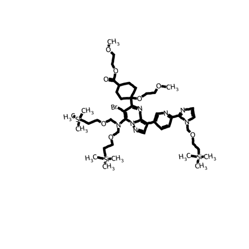 COCCOC(=O)C1CCC(OCCOC)(c2nc3c(-c4ccc(-c5nccn5COCC[Si](C)(C)C)nc4)cnn3c(N(COCC[Si](C)(C)C)COCC[Si](C)(C)C)c2Br)CC1